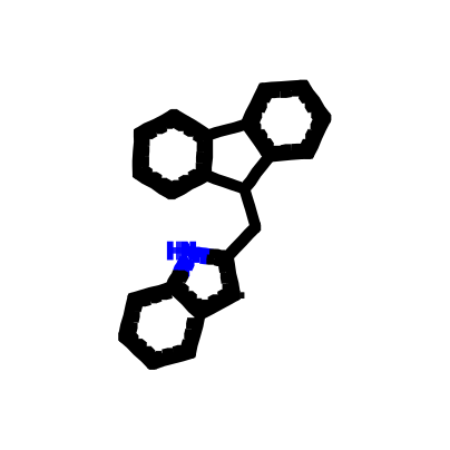 [c]1c(CC2c3ccccc3-c3ccccc32)[nH]c2ccccc12